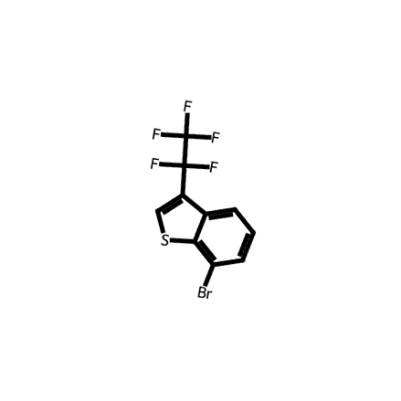 FC(F)(F)C(F)(F)c1csc2c(Br)cccc12